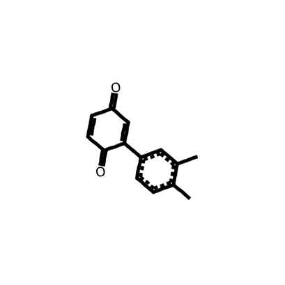 Cc1ccc(C2=CC(=O)C=CC2=O)cc1C